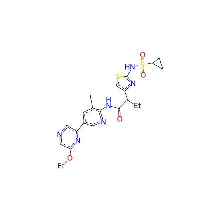 CCOc1cncc(-c2cnc(NC(=O)C(CC)c3csc(NS(=O)(=O)C4CC4)n3)c(C)c2)n1